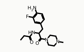 CCC(=O)NC(Cc1ccc(N)c(F)c1)C(=O)N1CCN(C)CC1